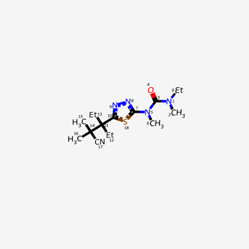 CCN(C)C(=O)N(C)c1nnc(C(CC)(CC)C(C)(C)C#N)s1